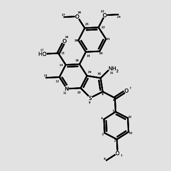 COc1ccc(C(=O)c2sc3nc(C)c(C(=O)O)c(-c4ccc(OC)c(OC)c4)c3c2N)cc1